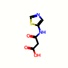 O=C(O)CC(=O)Nc1cn[c]s1